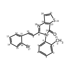 Cc1ccccc1-n1c(C=Cc2ccccc2Br)nc2ccsc2c1=O